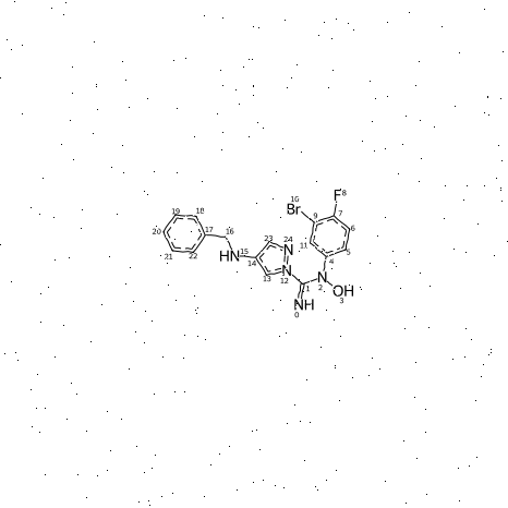 N=C(N(O)c1ccc(F)c(Br)c1)n1cc(NCc2ccccc2)cn1